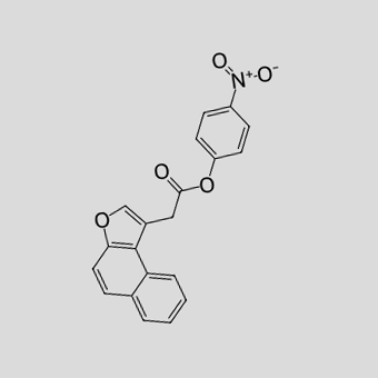 O=C(Cc1coc2ccc3ccccc3c12)Oc1ccc([N+](=O)[O-])cc1